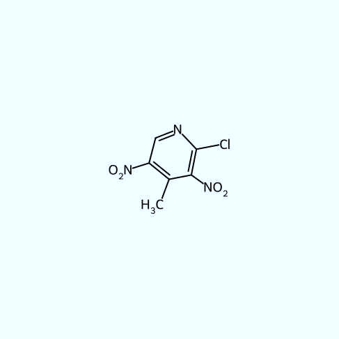 Cc1c([N+](=O)[O-])cnc(Cl)c1[N+](=O)[O-]